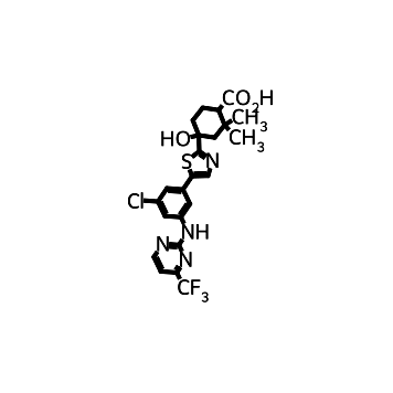 CC1(C)CC(O)(c2ncc(-c3cc(Cl)cc(Nc4nccc(C(F)(F)F)n4)c3)s2)CCC1C(=O)O